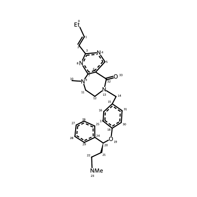 CC/C=C/c1ncc2c(n1)N(C)CCN(Cc1ccc(O[C@@H](CCNC)c3ccccc3)cc1)C2=O